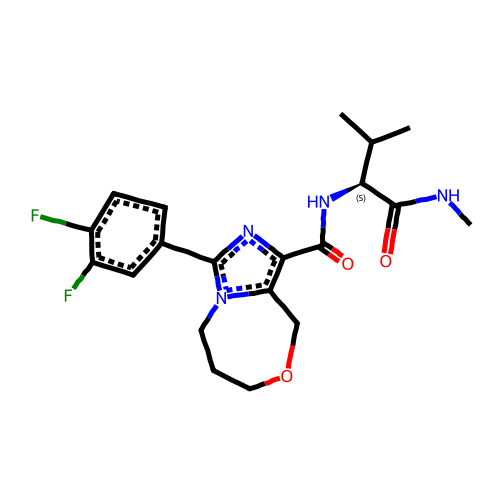 CNC(=O)[C@@H](NC(=O)c1nc(-c2ccc(F)c(F)c2)n2c1COCCC2)C(C)C